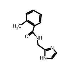 Cc1ccc[c]c1C(=O)NCc1ncc[nH]1